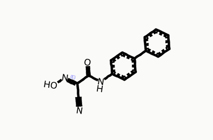 N#C/C(=N\O)C(=O)Nc1ccc(-c2ccccc2)cc1